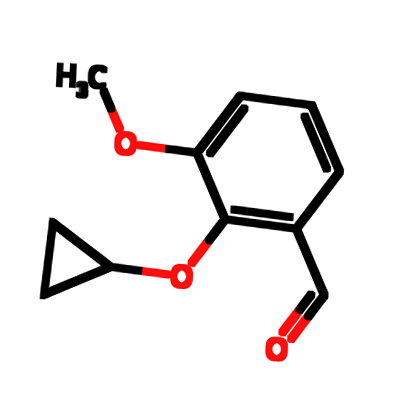 COc1cccc(C=O)c1OC1CC1